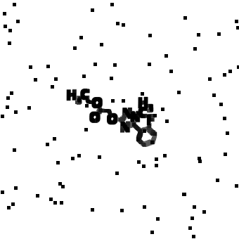 CCOC(=O)COc1nc(-c2ccccc2F)n(C)n1